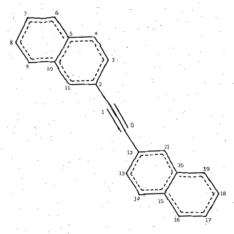 C(#Cc1ccc2ccccc2c1)c1ccc2[c]cccc2c1